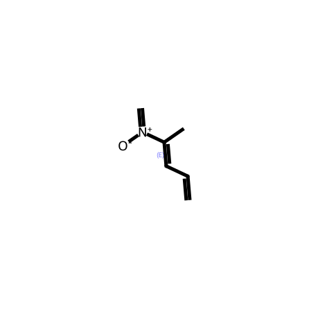 C=C/C=C(\C)[N+](=C)[O-]